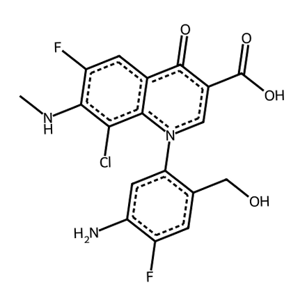 CNc1c(F)cc2c(=O)c(C(=O)O)cn(-c3cc(N)c(F)cc3CO)c2c1Cl